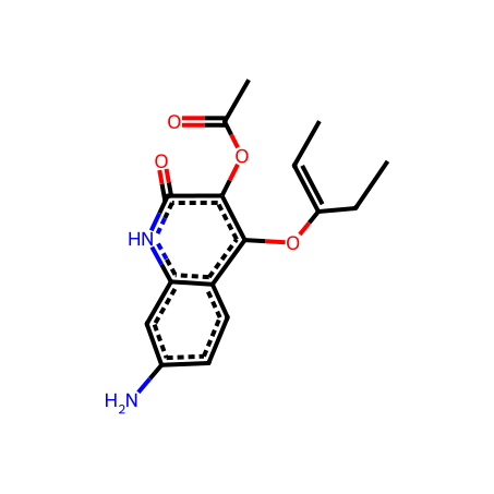 CC=C(CC)Oc1c(OC(C)=O)c(=O)[nH]c2cc(N)ccc12